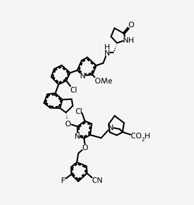 COc1nc(-c2cccc(-c3cccc4c3CC[C@@H]4Oc3nc(OCc4cc(F)cc(C#N)c4)c(CN4CC5(C(=O)O)CCC4CC5)cc3Cl)c2Cl)ccc1CNC[C@@H]1CCC(=O)N1